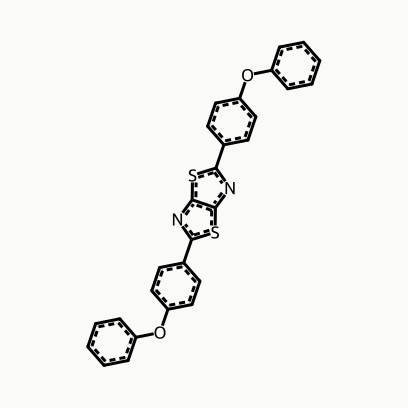 c1ccc(Oc2ccc(-c3nc4sc(-c5ccc(Oc6ccccc6)cc5)nc4s3)cc2)cc1